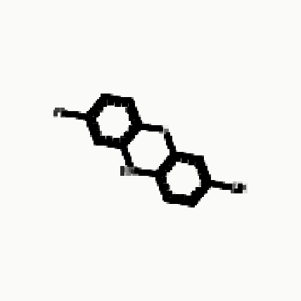 Oc1ccc2c(c1)Sc1ccc(Cl)cc1N2